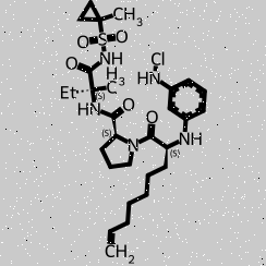 C=CCCCCC[C@H](Nc1cccc(NCl)c1)C(=O)N1CCC[C@H]1C(=O)N[C@@](C)(CC)C(=O)NS(=O)(=O)C1(C)CC1